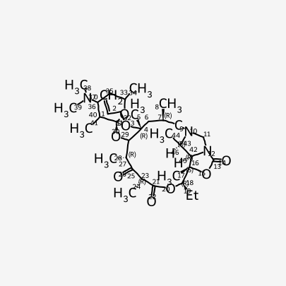 C=CCO[C@]1(C)C[C@@H](C)CN2CN3C(=O)O[C@](C)([C@@H](CC)OC(=O)[C@H](C)C(=O)[C@H](C)C1O[C@@H]1OC(C)CC(N(C)C)C1C)[C@H]3[C@H]2C